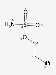 CC(C)CCOS(N)(=O)=O